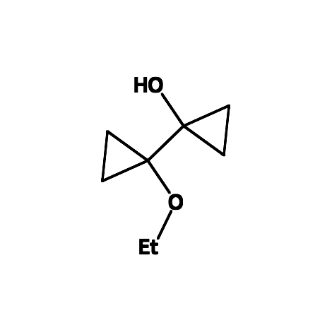 CCOC1(C2(O)CC2)CC1